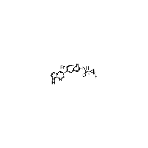 CC(C)c1c(-c2ccn3nc(NC(=O)[C@@H]4C[C@@H]4F)cc3c2)cnc2[nH]ccc12